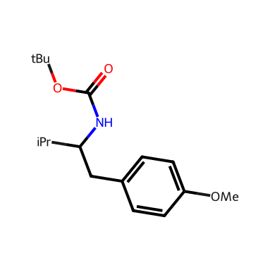 COc1ccc(CC(NC(=O)OC(C)(C)C)C(C)C)cc1